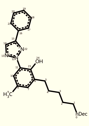 CCCCCCCCCCCCCCCc1cc(C)cc(-n2ncc(-c3ccccc3)n2)c1O